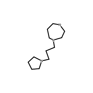 C1CCN(CCCN2CCC[N]CC2)C1